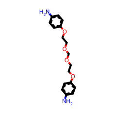 Nc1ccc(OCCOCOCCOc2ccc(N)cc2)cc1